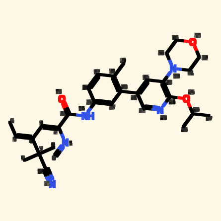 C=N/C(=C\C(=C/C)C(C)(C)C#N)C(=O)Nc1ccc(C)c(-c2cnc(OC(C)C)c(N3CCOCC3)c2)c1